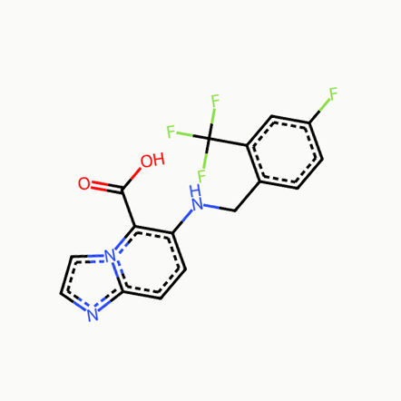 O=C(O)c1c(NCc2ccc(F)cc2C(F)(F)F)ccc2nccn12